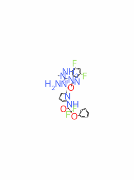 CN(N)/C(=N\N)n1c(OCc2cccc(NC(=O)C(F)(F)Oc3ccccc3)n2)nc2c(F)cc(F)cc21